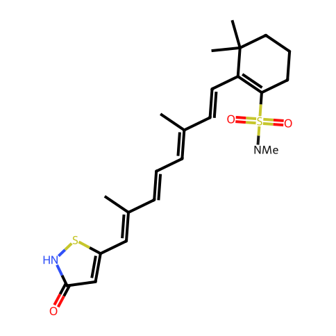 CNS(=O)(=O)C1=C(/C=C/C(C)=C/C=C/C(C)=C/c2cc(=O)[nH]s2)C(C)(C)CCC1